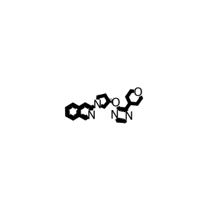 c1ccc2cc(N3CC[C@@H](Oc4nccnc4C4CCOCC4)C3)ncc2c1